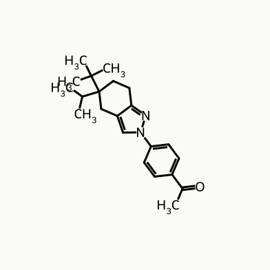 CC(=O)c1ccc(-n2cc3c(n2)CCC(C(C)C)(C(C)(C)C)C3)cc1